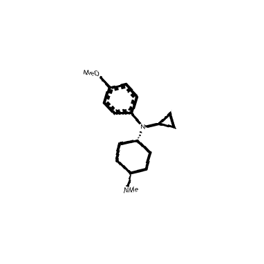 CN[C@H]1CC[C@H](N(c2ccc(OC)cc2)C2CC2)CC1